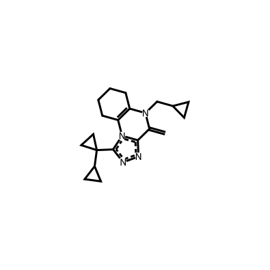 C=C1c2nnc(C3(C4CC4)CC3)n2C2=C(CCCC2)N1CC1CC1